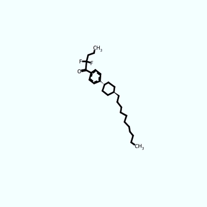 CCCCCCCCCCC[C@H]1CC[C@H](c2ccc(C(=O)C(F)(F)CCC)cc2)CC1